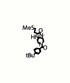 CSCCC1NC2(CCN(C(=O)c3ccc(C(C)(C)C)cc3)CC2)[N]C1=O